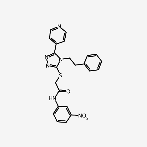 O=C(CSc1nnc(-c2ccncc2)n1CCc1ccccc1)Nc1cccc([N+](=O)[O-])c1